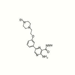 CCN1CCN(CCOc2cccc(-c3cnc(N)c(C(=O)NC)n3)c2)CC1